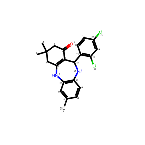 CC1(C)CC(=O)C2=C(C1)Nc1cc(C#N)ccc1NC2c1ccc(Cl)cc1Cl